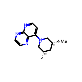 CN[C@@H]1C[C@H](C)CN(c2ccnc3nccnc23)C1